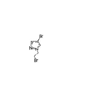 BrCCn1cc(Br)cn1